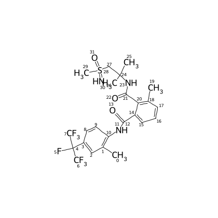 Cc1cc(C(F)(C(F)(F)F)C(F)(F)F)ccc1NC(=O)c1cccc(C)c1C(=O)NC(C)(C)CS(C)(=N)=O